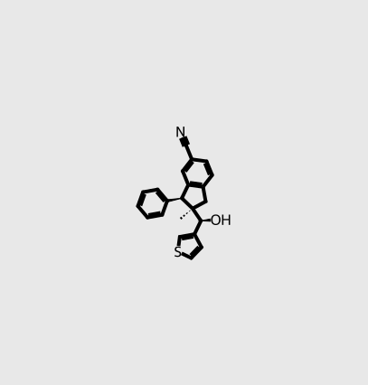 C[C@@]1([C@@H](O)c2ccsc2)Cc2ccc(C#N)cc2[C@@H]1c1ccccc1